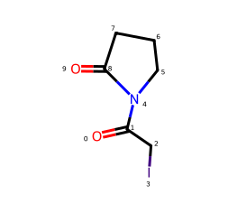 O=C(CI)N1CCCC1=O